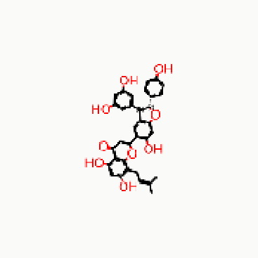 CC(C)=CCc1c(O)cc(O)c2c1OC(c1cc3c(cc1O)O[C@@H](c1ccc(O)cc1)[C@@H]3c1cc(O)cc(O)c1)CC2=O